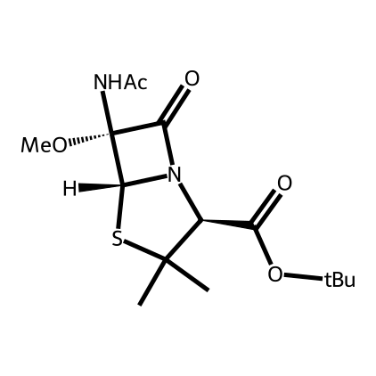 CO[C@]1(NC(C)=O)C(=O)N2[C@@H](C(=O)OC(C)(C)C)C(C)(C)S[C@@H]21